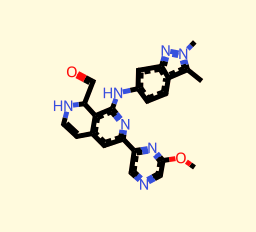 COc1cncc(-c2cc3c(c(Nc4ccc5c(C)n(C)nc5c4)n2)C(C=O)NC=C3)n1